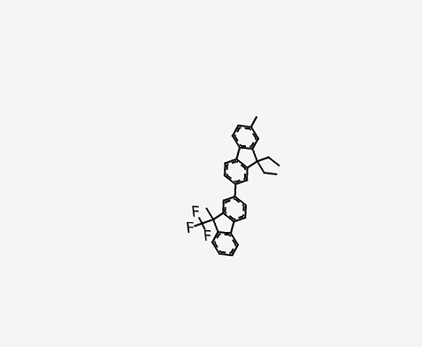 CCC1(CC)c2cc(C)ccc2-c2ccc(-c3ccc4c(c3)C(C)(C(F)(F)F)c3ccccc3-4)cc21